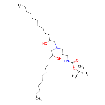 CCCCCCCCCCC(O)CN(CCCNC(=O)OC(C)(C)C)CC(O)CCCCCCCCCC